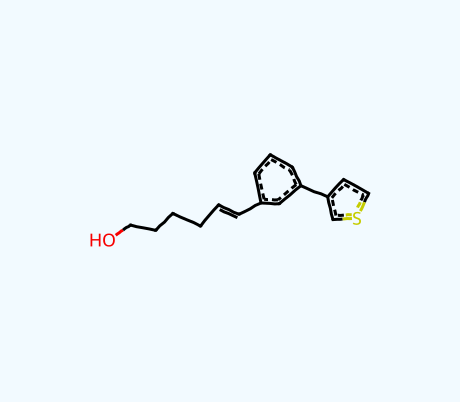 OCCCC/C=C/c1cccc(-c2ccsc2)c1